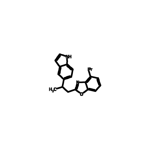 CC(C)c1cccc2oc(CC(C)c3ccc4[nH]ccc4c3)nc12